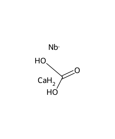 O=C(O)O.[CaH2].[Nb]